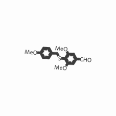 COc1ccc(CSc2c(OC)cc(C=O)cc2OC)cc1